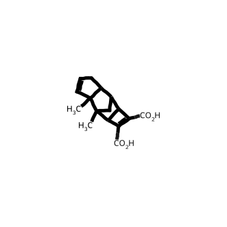 CC12C=CCC1C1CC2(C)C2C(C(=O)O)=C(C(=O)O)C12